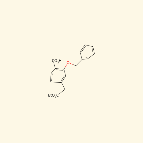 CCOC(=O)Cc1ccc(C(=O)O)c(OCc2ccccc2)c1